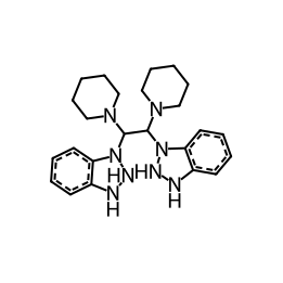 c1ccc2c(c1)NNN2C(C(N1CCCCC1)N1NNc2ccccc21)N1CCCCC1